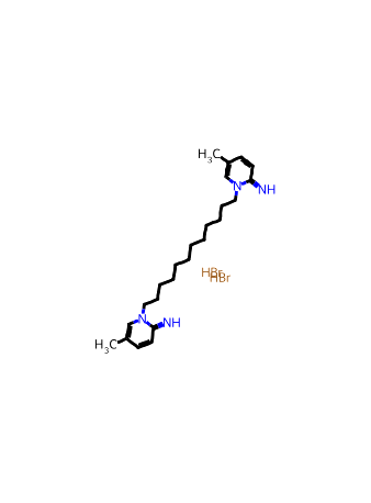 Br.Br.Cc1ccc(=N)n(CCCCCCCCCCCCn2cc(C)ccc2=N)c1